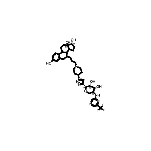 C[C@]12CCC3c4ccc(O)cc4CC(CCCN4CCC(n5cc([C@H]6OC[C@H](Nc7cncc(C(F)(F)F)n7)[C@@H](O)[C@H]6O)nn5)CC4)C3C1CC[C@@H]2O